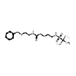 CC(C)(C)S(=O)(=O)NCCCCC(=O)NCCSCc1ccccc1